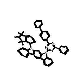 CC1C(C)(C)c2cccc(-n3c4ccccc4c4cc5c6ccccc6n(-c6nc(-c7ccccc7)nc(-c7ccc(-c8ccccc8)cc7)n6)c5cc43)c2C1(C)C